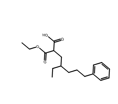 CCOC(=O)C(CC(CC)CCCc1ccccc1)C(=O)O